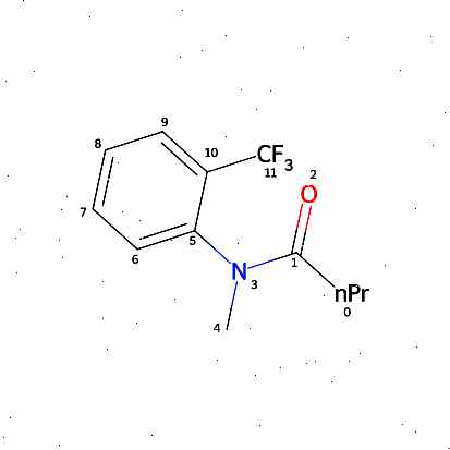 CCCC(=O)N(C)c1ccccc1C(F)(F)F